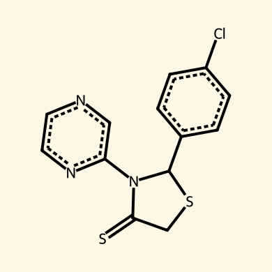 S=C1CSC(c2ccc(Cl)cc2)N1c1cnccn1